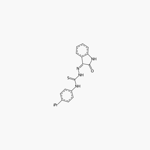 CC(C)c1ccc(NC(=S)N/N=C2\C(=O)Nc3ccccc32)cc1